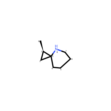 C[C@@H]1CC12CCCCN2